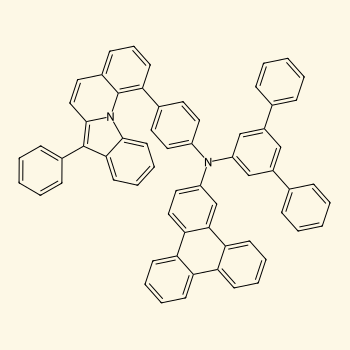 c1ccc(-c2cc(-c3ccccc3)cc(N(c3ccc(-c4cccc5ccc6c(-c7ccccc7)c7ccccc7n6c45)cc3)c3ccc4c5ccccc5c5ccccc5c4c3)c2)cc1